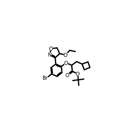 CCOC1CON=C1c1cc(Br)ccc1OC(CC1CCC1)C(=O)OC(C)(C)C